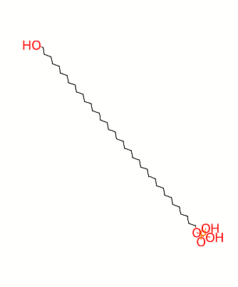 O=P(O)(O)OCCCCCCCCCCCCCCCCCCCCCCCCCCCCCCCCCCCCCCCO